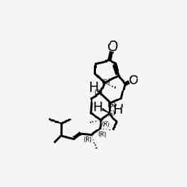 CC(C)C(C)C=C[C@@H](C)[C@H]1CC[C@H]2[C@@H]3CC(=O)C4=CC(=O)CC[C@]4(C)[C@H]3CC[C@]12C